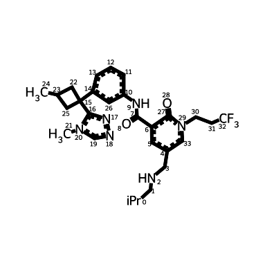 CC(C)CNCc1cc(C(=O)Nc2cccc(C3(c4nncn4C)CC(C)C3)c2)c(=O)n(CCC(F)(F)F)c1